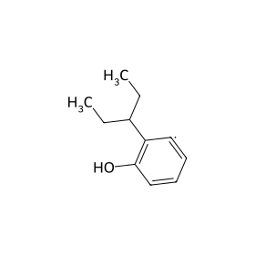 CCC(CC)c1[c]cccc1O